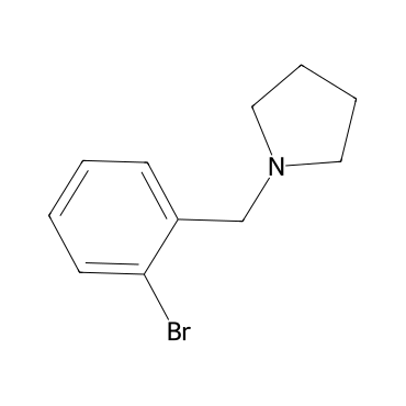 Brc1ccccc1CN1CCCC1